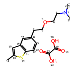 CCN(CC)CCOCCc1ccc2sc(C)cc2c1.O=C(O)C(=O)O